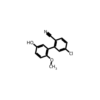 COc1ccc(O)cc1-c1cc(Cl)ccc1C#N